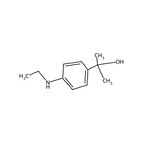 CCNc1ccc(C(C)(C)O)cc1